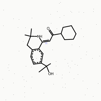 CC1(C)Cc2ccc(C(C)(C)O)cc2/C(=C/C(=O)C2CCCCC2)N1